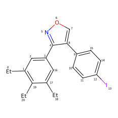 CCc1cc(-c2nocc2-c2ccc(I)cc2)cc(CC)c1CC